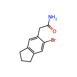 NC(=O)Cc1cc2c(cc1Br)CCC2